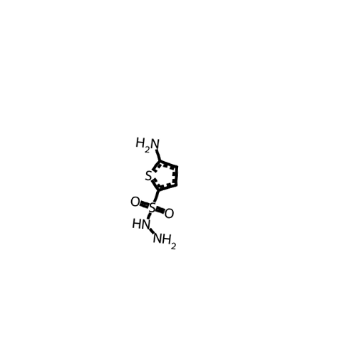 NNS(=O)(=O)c1ccc(N)s1